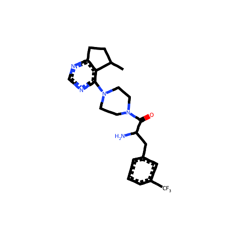 CC1CCc2ncnc(N3CCN(C(=O)C(N)Cc4cccc(C(F)(F)F)c4)CC3)c21